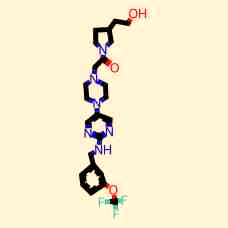 O=C(CN1CCN(c2cnc(NCc3cccc(OC(F)(F)F)c3)nc2)CC1)N1CCC(CCO)C1